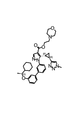 C[C@H](Oc1cccc(-c2cccc(-n3ncc(C(=O)OCCN4CCOCC4)c3[C@@H]3C[C@H]3c3cn(C)nn3)c2)c1)C1CCCCC1